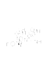 COC(=O)c1cc(N2CCC3(CCNCC3C(=O)OC(C)(C)C)CC2)c2c(C3CCC3)nn(-c3ccc(F)cc3)c2n1